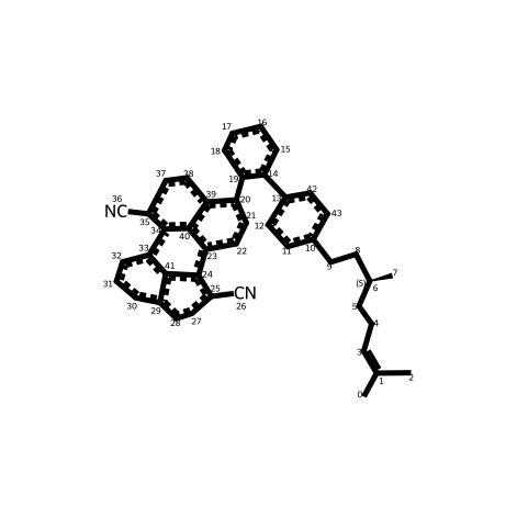 CC(C)=CCC[C@H](C)CCc1ccc(-c2ccccc2-c2ccc3c4c(C#N)ccc5cccc(c6c(C#N)ccc2c36)c54)cc1